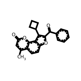 Cc1cc(=O)oc2c1ccc1oc(C(=O)c3ccccc3)c(C3CCC3)c12